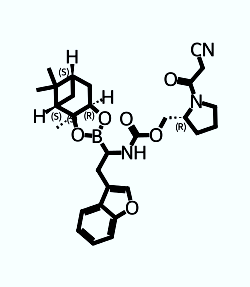 CC1(C)[C@@H]2C[C@H]3OB(C(Cc4coc5ccccc45)NC(=O)OC[C@H]4CCCN4C(=O)CC#N)O[C@@]3(C)[C@H]1C2